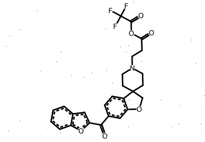 O=C(CCN1CCC2(CC1)COc1cc(C(=O)c3cc4ccccc4o3)ccc12)OC(=O)C(F)(F)F